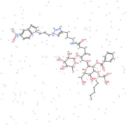 CCCCCC[C@H](OC1C(OC(=O)c2ccccc2)[C@H](OCC(O[C@@H]2OC(C)[C@@H](O)C(O)C2O)C(C)CCC(=O)NCCCc2cn(CCCn3ccc4cc([N+](=O)[O-])ccc43)nn2)OC(CO)[C@@H]1O)C(=O)O